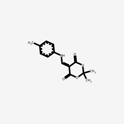 Cc1ccc(NC=C2C(=O)OC(C)(C)OC2=O)cc1